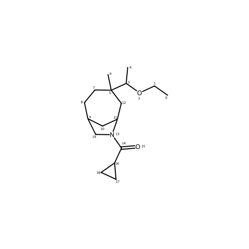 CCOC(C)C1(C)CCC2CC(C1)N(C(=O)C1CC1)C2